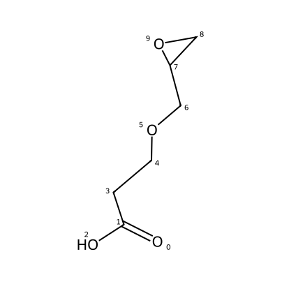 O=C(O)CCOCC1CO1